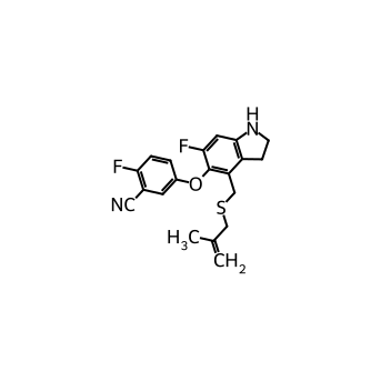 C=C(C)CSCc1c2c(cc(F)c1Oc1ccc(F)c(C#N)c1)NCC2